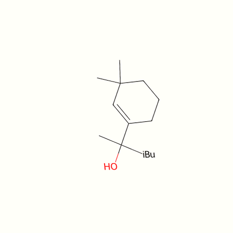 CCC(C)C(C)(O)C1=CC(C)(C)CCC1